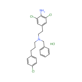 Cl.Nc1c(Cl)cc(CCN(CCCc2ccc(Cl)cc2)Cc2ccccc2)cc1Cl